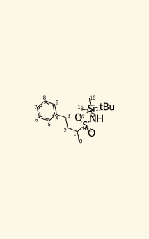 CC(CCc1ccccc1)S(=O)(=O)N[Si](C)(C)C(C)(C)C